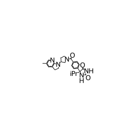 Cc1cnc2c(c1)CCN2[C@H]1CCN(C(=O)c2ccc([C@@]3(C(C)C)NC(=O)NC3=O)cc2)C1